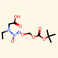 CCN(CC(=O)O)[N+]([O-])=NOCOC(=O)OC(C)(C)C